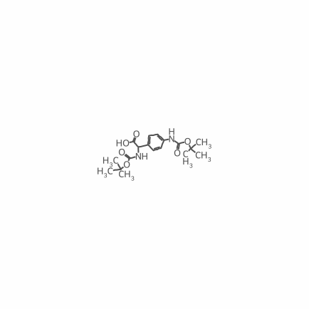 CC(C)(C)OC(=O)Nc1ccc(C(NC(=O)OC(C)(C)C)C(=O)O)cc1